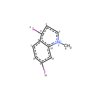 C[n+]1ccc(I)c2ccc(I)cc21